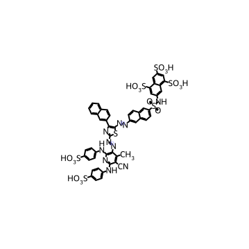 Cc1c(C#N)c(Nc2ccc(S(=O)(=O)O)cc2)nc(Nc2ccc(S(=O)(=O)O)cc2)c1/N=N/c1nc(-c2ccc3ccccc3c2)c(/N=N/c2ccc3cc(S(=O)(=O)Nc4cc(S(=O)(=O)O)c5cc(S(=O)(=O)O)cc(S(=O)(=O)O)c5c4)ccc3c2)s1